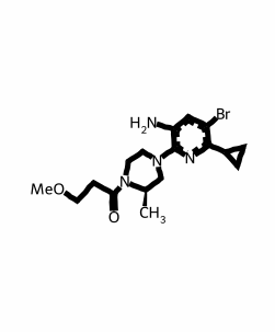 COCCC(=O)N1CCN(c2nc(C3CC3)c(Br)cc2N)C[C@H]1C